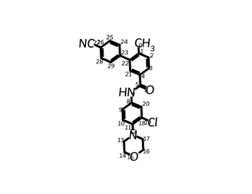 Cc1ccc(C(=O)Nc2ccc(N3CCOCC3)c(Cl)c2)cc1-c1ccc(C#N)cc1